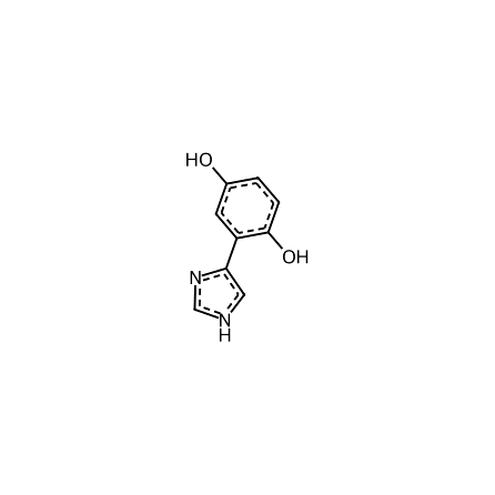 Oc1ccc(O)c(-c2c[nH]cn2)c1